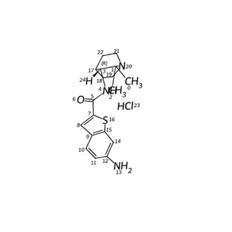 CC1(C)[C@H](NC(=O)c2cc3ccc(N)cc3s2)C2CCN1CC2.Cl